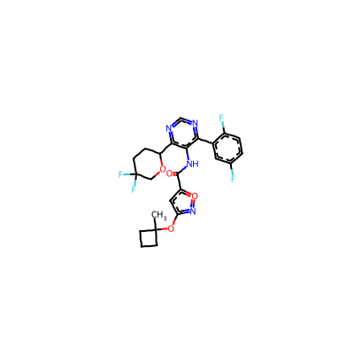 CC1(Oc2cc(C(=O)Nc3c(-c4cc(F)ccc4F)ncnc3C3CCC(F)(F)CO3)on2)CCC1